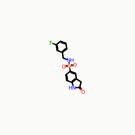 O=C1Cc2cc(S(=O)(=O)NCc3cccc(F)c3)ccc2N1